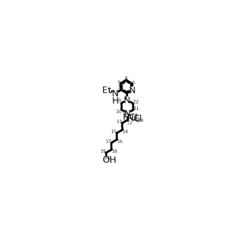 CCNc1cccnc1N1CCN(CCCCCCCCO)CC1.Cl.Cl